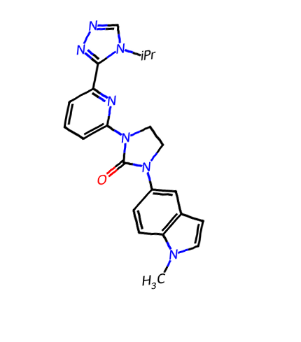 CC(C)n1cnnc1-c1cccc(N2CCN(c3ccc4c(ccn4C)c3)C2=O)n1